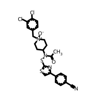 CC(=O)N(Sc1nc(-c2ccc(C#N)cc2)cs1)C1CC[N+]([O-])(Cc2ccc(Cl)c(Cl)c2)CC1